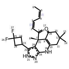 C=C(/C=C\C=C/C)[C@]1(C)C2=C(CC(C)(C)CC2=O)Nc2n[nH]c(C3CC(F)(F)C3)c21